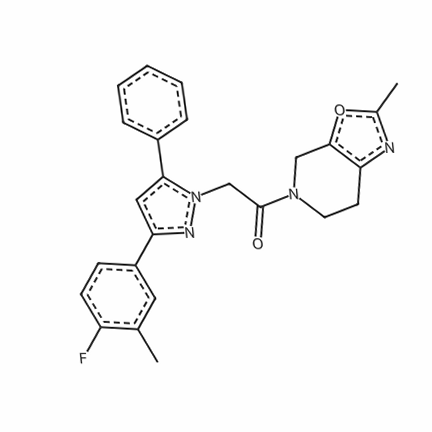 Cc1nc2c(o1)CN(C(=O)Cn1nc(-c3ccc(F)c(C)c3)cc1-c1ccccc1)CC2